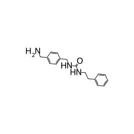 NCc1ccc(CNC(=O)NCCc2ccccc2)cc1